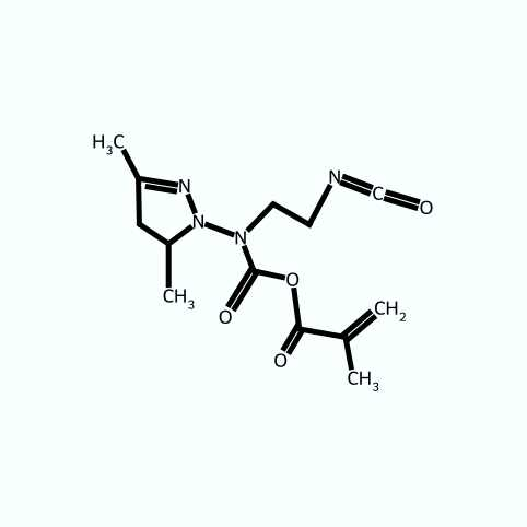 C=C(C)C(=O)OC(=O)N(CCN=C=O)N1N=C(C)CC1C